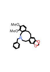 COc1ccc2c(c1OC)CN(Cc1ccccc1)CCc1cc3c(cc1CC2)OCO3